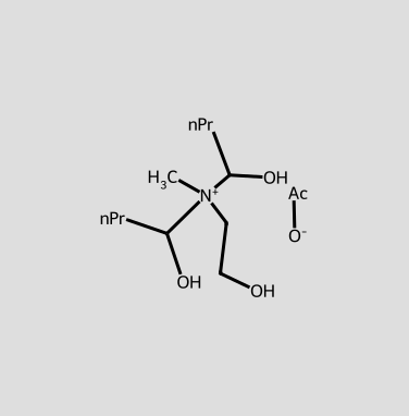 CC(=O)[O-].CCCC(O)[N+](C)(CCO)C(O)CCC